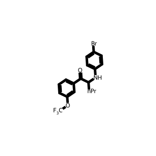 CCCC(Nc1ccc(Br)cc1)C(=O)c1cccc(OC(F)(F)F)c1